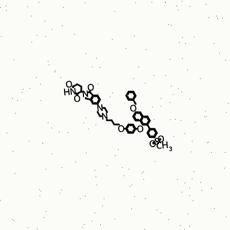 CS(=O)(=O)c1ccc(-c2ccc3cc(OCc4ccccc4)ccc3c2Oc2ccc(OCCCCN3CCN(c4ccc5c(c4)CN(C4CCC(=O)NC4=O)C5=O)CC3)cc2)cc1